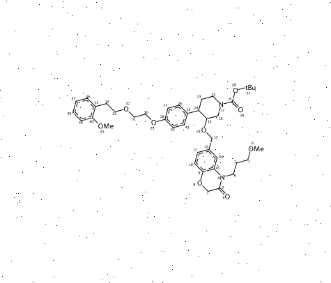 COCCCN1C(=O)COc2ccc(COC3CN(C(=O)OC(C)(C)C)CCC3c3ccc(OCCOCCc4ccccc4OC)cc3)cc21